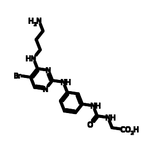 NCCCNc1nc(Nc2cccc(NC(=O)NCC(=O)O)c2)ncc1Br